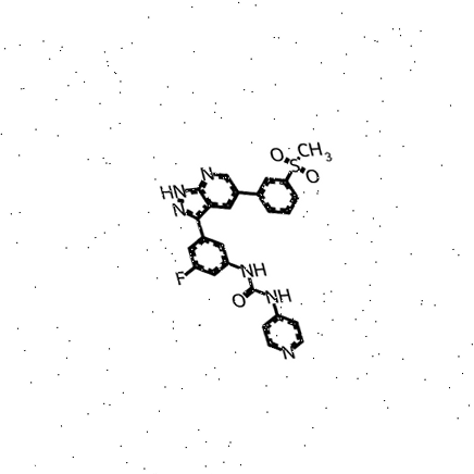 CS(=O)(=O)c1cccc(-c2cnc3[nH]nc(-c4cc(F)cc(NC(=O)Nc5ccncc5)c4)c3c2)c1